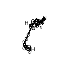 CN1CCC(Nc2cccc(C(=O)NC(C)(C)c3cccc(OCCCCCOCCCOCCOc4ccc5c(c4)CN(C4CCC(=O)NC4=O)C5=O)c3)c2)(c2nnc(-c3ccncc3)[nH]2)CC1